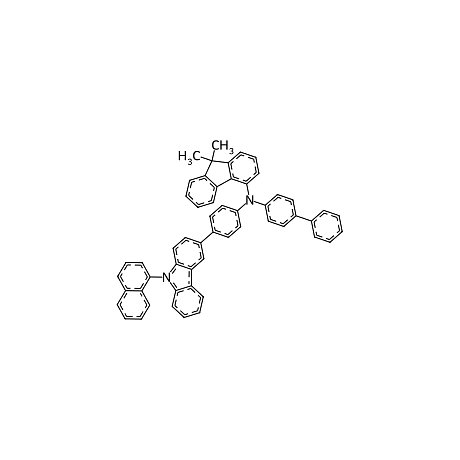 CC1(C)c2ccccc2-c2c(N(c3ccc(-c4ccccc4)cc3)c3ccc(-c4ccc5c(c4)c4ccccc4n5-c4cccc5ccccc45)cc3)cccc21